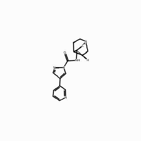 O=C(N[C@H]1CN2CCC1CC2)n1cc(-c2cccnc2)cn1